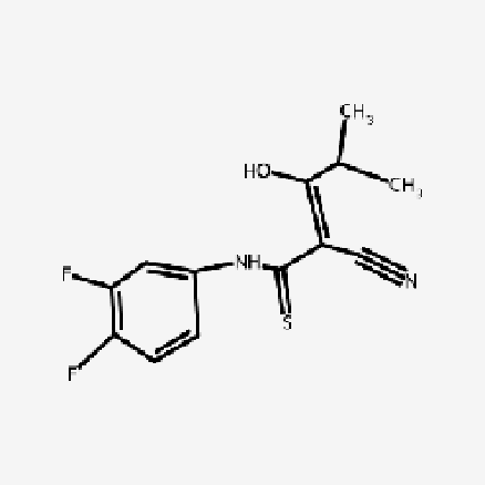 CC(C)C(O)=C(C#N)C(=S)Nc1ccc(F)c(F)c1